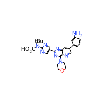 CC(C)(C)N(C(=O)O)c1ncc(-c2nc(N3CCOCC3)c3ncc(-c4cccc(N)c4)cc3n2)cn1